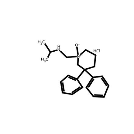 CC(C)NC[N+]1([O-])CCCC(c2ccccc2)(c2ccccc2)C1.Cl